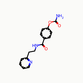 NC(=O)Oc1ccc(C(=O)NCCc2ccccn2)cc1